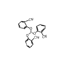 N#Cc1ccccc1OP(Oc1ccccc1C#N)Oc1ccccc1C#N